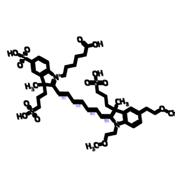 COCCc1ccc2c(c1)C(C)(CCCS(=O)(=O)O)\C(=C/C=C/C=C/C=C/C1=[N+](CCCCCC(=O)O)c3ccc(S(=O)(=O)O)cc3C1(C)CCCS(=O)(=O)O)N2CCOC